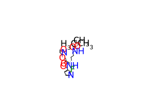 CC(C)(C)OC(=O)NCCCC[C@H](NC(=O)c1cccnc1F)C(=O)COc1ccon1